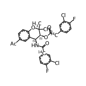 CC(=O)c1ccc2c(c1)[C@H](NC(=O)[14c]1ccc(F)c(Cl)c1)[C@H](OC(=O)[14CH2]c1ccc(F)c(Cl)c1)C(C)(C)O2